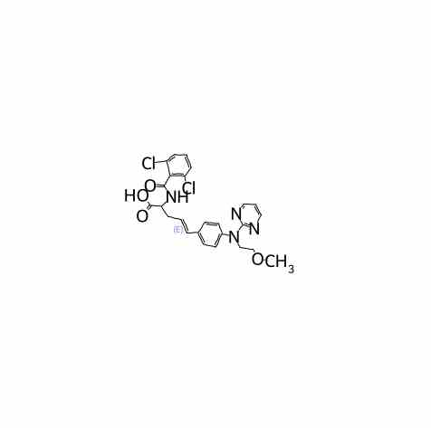 COCCN(c1ccc(/C=C/CC(NC(=O)c2c(Cl)cccc2Cl)C(=O)O)cc1)c1ncccn1